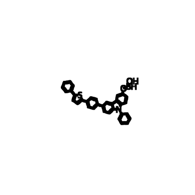 OBOc1ccc2c(c1)c1cc(-c3ccc(-c4ccc(-c5ccccc5)s4)cc3)ccc1n2-c1ccccc1